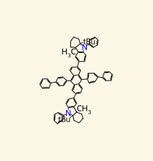 CC(C)(C)C12CCCCC1(C)c1cc(-c3ccc4c(-c5ccc(-c6ccccc6)cc5)c5cc(-c6ccc7c(c6)C6(C)CCCCC6(C(C)(C)C)N7c6ccccc6)ccc5c(-c5ccc(-c6ccccc6)cc5)c4c3)ccc1N2c1ccccc1